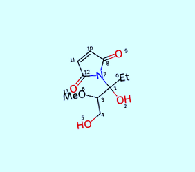 CCC(O)(C(CO)OC)N1C(=O)C=CC1=O